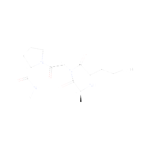 CCCNC(=O)[C@@H]1CCCN1C(=O)[C@H](C)N(C(=O)CCCC(=O)O)C(=O)[C@H](C)N